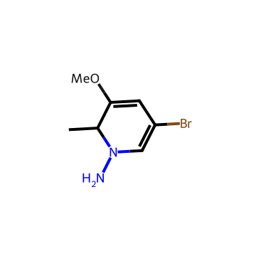 COC1=CC(Br)=CN(N)C1C